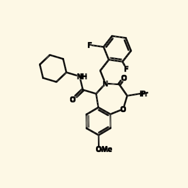 COc1ccc2c(c1)OC(C(C)C)C(=O)N(Cc1c(F)cccc1F)C2C(=O)NC1CCCCC1